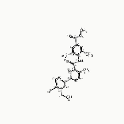 COC(=O)c1cc(C)c(NC(=O)c2nc(-c3ccc(F)c(CO)c3)ccc2C)c(C)c1